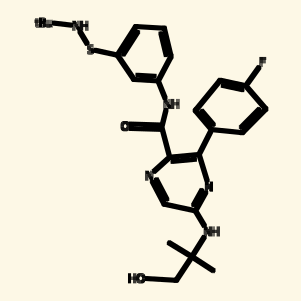 CC(C)(C)NSc1cccc(NC(=O)c2ncc(NC(C)(C)CO)nc2-c2ccc(F)cc2)c1